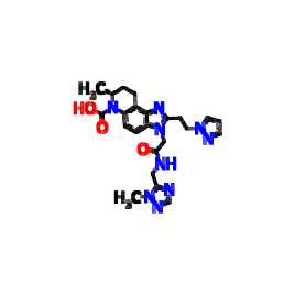 C[C@H]1CCc2c(ccc3c2nc(CCn2cccn2)n3CC(=O)NCc2ncnn2C)N1C(=O)O